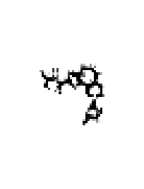 Cc1cnc(N2CCC3=C(C2)c2sc(C(=O)NC(C)C)nc2CCC3)s1